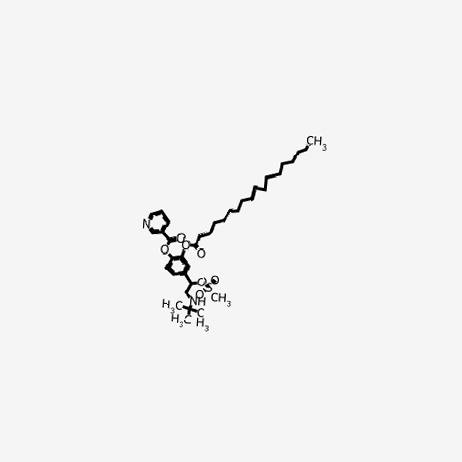 CCCCCCCCC=CCCCCCCCC(=O)Oc1cc(C(CNC(C)(C)C)OS(C)(=O)=O)ccc1OC(=O)c1cccnc1